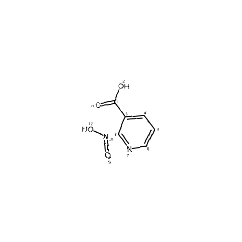 O=C(O)c1cccnc1.O=NO